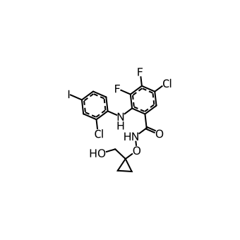 O=C(NOC1(CO)CC1)c1cc(Cl)c(F)c(F)c1Nc1ccc(I)cc1Cl